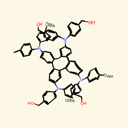 COc1ccc(N(c2ccc(C)cc2)c2ccc3c(c2)-c2cc(N(c4ccc(CO)cc4)c4ccc(CO)cc4)ccc2-c2ccc(N(c4ccc(OC)cc4)c4ccc(OC)cc4)cc2-c2cc(N(c4ccc(CO)cc4)c4ccc(CO)cc4)ccc2-3)cc1